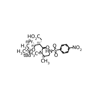 CCC[C@@H](O[Si](C)(C)C(C)(C)C)[C@H](CC(=O)O)C(=O)N(C)[C@@H](C)CNS(=O)(=O)c1ccc([N+](=O)[O-])cc1